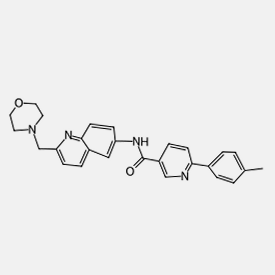 Cc1ccc(-c2ccc(C(=O)Nc3ccc4nc(CN5CCOCC5)ccc4c3)cn2)cc1